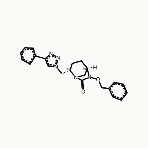 O=C1N2C[C@@H](CC[C@H]2Cn2cc(-c3ccccc3)nn2)N1OCc1ccccc1